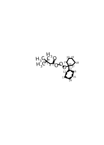 CC(C)(C)CC(=O)OOOC1(c2ccccc2)CCCCC1